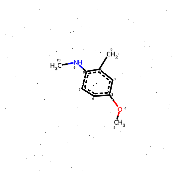 [CH2]c1cc(OC)ccc1NC